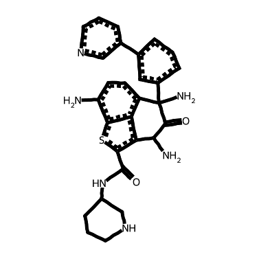 Nc1ccc2c3c(c(C(=O)NC4CCCNC4)sc13)C(N)C(=O)C2(N)c1cccc(-c2cccnc2)c1